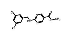 NNC(=O)c1cnc(NCc2cc(Cl)cc(Cl)c2)nc1